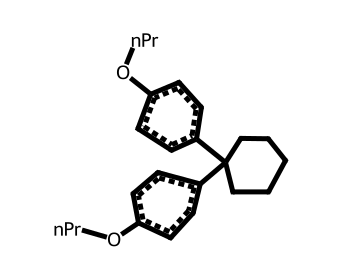 CCCOc1ccc(C2(c3ccc(OCCC)cc3)CCCCC2)cc1